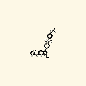 CCn1cc(C2CCN(S(=O)(=O)c3ccc(OC(C)C)cc3)CC2)c2ccc(Sc3nccn3C)nc21